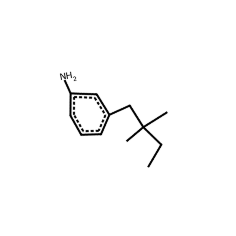 CCC(C)(C)Cc1cccc(N)c1